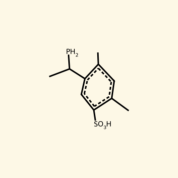 Cc1cc(C)c(S(=O)(=O)O)cc1C(C)P